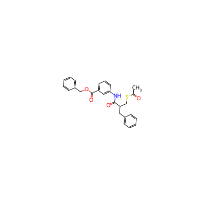 CC(=O)SCC(Cc1ccccc1)C(=O)Nc1cccc(C(=O)OCc2ccccc2)c1